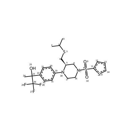 CC(C)SC[C@H]1CN(S(=O)(=O)c2cccs2)CCN1c1ccc(C(C)(O)C(F)(F)F)cc1